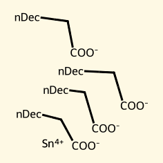 CCCCCCCCCCCC(=O)[O-].CCCCCCCCCCCC(=O)[O-].CCCCCCCCCCCC(=O)[O-].CCCCCCCCCCCC(=O)[O-].[Sn+4]